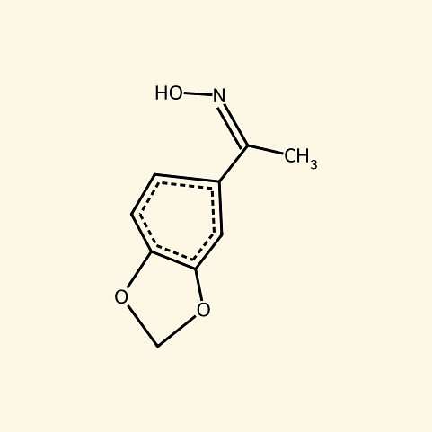 C/C(=N/O)c1ccc2c(c1)OCO2